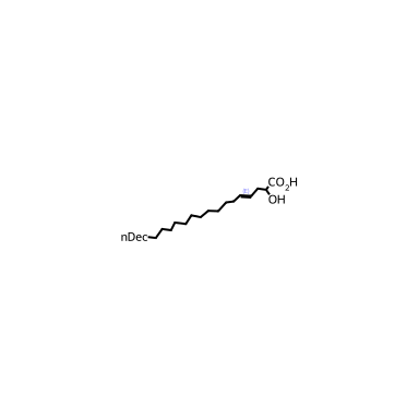 CCCCCCCCCCCCCCCCCCCCC/C=C/CC(O)C(=O)O